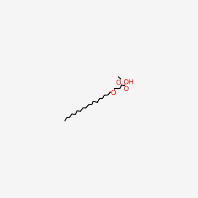 CCCCCCCCCCCCCCCCCCOCCC(OCC)C(=O)O